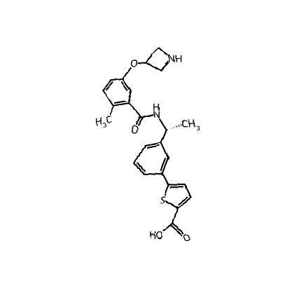 Cc1ccc(OC2CNC2)cc1C(=O)N[C@H](C)c1cccc(-c2ccc(C(=O)O)s2)c1